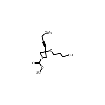 COCC#CC1(OCCCO)CN(C(=O)OC(C)(C)C)C1